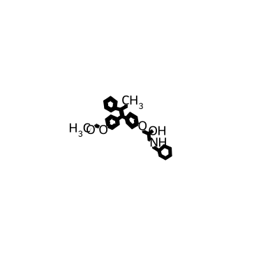 CCC(=C(c1ccc(OCOC)cc1)c1ccc(OCC(O)CNCC2CCCCC2)cc1)c1ccccc1